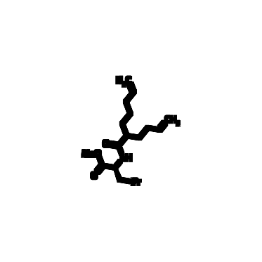 C=CCCCC(CCC=C)C(=O)N[C@@H](CC(C)C)C(=O)OC